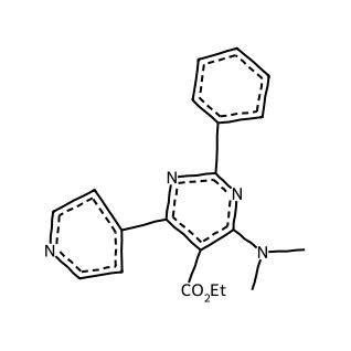 CCOC(=O)c1c(-c2ccncc2)nc(-c2ccccc2)nc1N(C)C